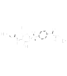 C=CC(=O)NC1C(C)CN(S(=O)(=O)c2ccc(C(=O)NCC3CC3)cc2)CC1C